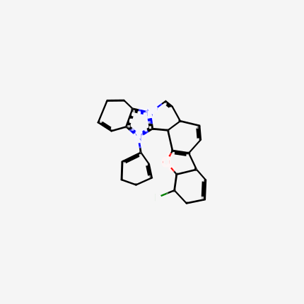 FC1CC=CC2C3=C(OC12)C1c2n(C4=CCCC=C4)c4c([n+]2C=CC1C=C3)CCC=C4